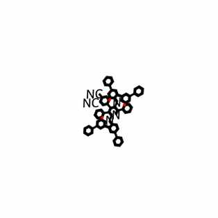 N#Cc1ccc(-c2c(-c3ccccc3)c(-n3c4ccc(-c5ccccc5)cc4c4cc(-c5ccccc5)ccc43)nc(-c3ccccc3)c2-n2c3ccc(-c4ccccc4)cc3c3cc(-c4ccccc4)ccc32)cc1C#N